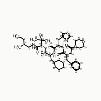 CC[C@H](C)CNC(=O)[C@@H](C[C@H](O)[C@H](CC1CCCCC1)NC(=O)[C@H](Cc1cscn1)NC(=O)[C@@H](CC(=O)N1CCOCC1)Cc1ccccc1)C(C)(C)O